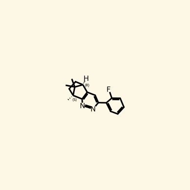 CC1(C)[C@H]2CC[C@]1(C)c1nnc(-c3ccccc3F)cc12